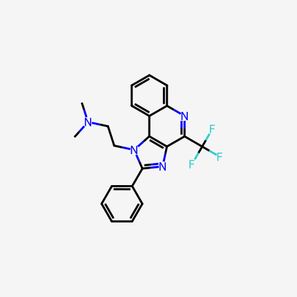 CN(C)CCn1c(-c2ccccc2)nc2c(C(F)(F)F)nc3ccccc3c21